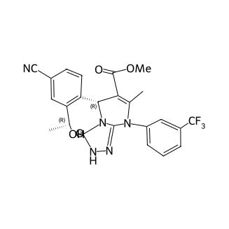 COC(=O)C1=C(C)N(c2cccc(C(F)(F)F)c2)c2n[nH]c(=O)n2[C@@H]1c1ccc(C#N)cc1[C@@H](C)O